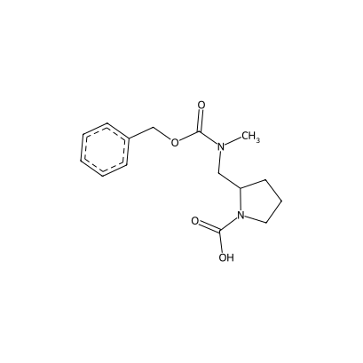 CN(CC1CCCN1C(=O)O)C(=O)OCc1ccccc1